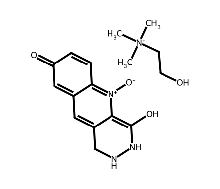 C[N+](C)(C)CCO.O=C1C=Cc2c(cc3c([n+]2[O-])=C(O)NNC3)=C1